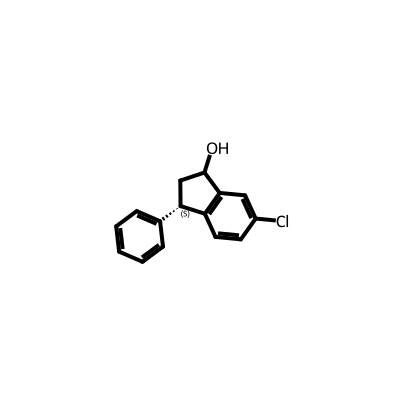 OC1C[C@@H](c2ccccc2)c2ccc(Cl)cc21